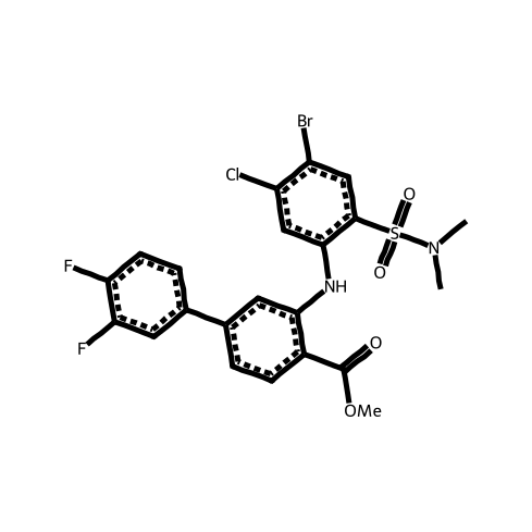 COC(=O)c1ccc(-c2ccc(F)c(F)c2)cc1Nc1cc(Cl)c(Br)cc1S(=O)(=O)N(C)C